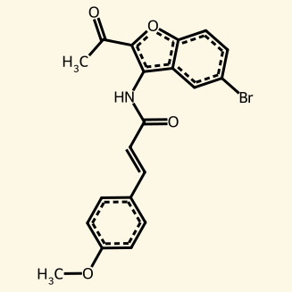 COc1ccc(C=CC(=O)Nc2c(C(C)=O)oc3ccc(Br)cc23)cc1